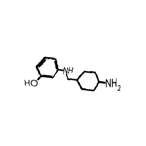 NC1CCC(CNc2cccc(O)c2)CC1